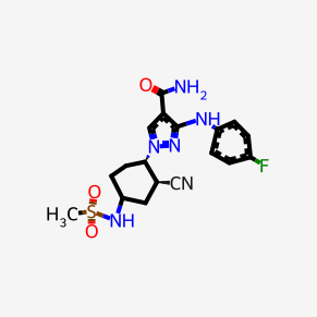 CS(=O)(=O)NC1CC[C@H](n2cc(C(N)=O)c(Nc3ccc(F)cc3)n2)[C@@H](C#N)C1